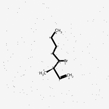 C=C[C@@H](C)C(Br)CCCC